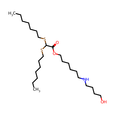 CCCCCCCSC(SCCCCCCC)C(=O)OCCCCCCNCCCCO